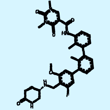 COc1cc(-c2cccc(-c3cccc(NC(=O)c4cn(C)c(=O)n(C)c4=O)c3C)c2C)cc(F)c1CN[C@H]1CCC(=O)NC1